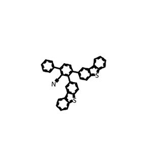 N#Cc1c(-c2ccccc2)ccc(-c2ccc3sc4ccccc4c3c2)c1-c1ccc2sc3ccccc3c2c1